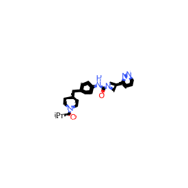 CC(C)C(=O)N1CCC(Cc2ccc(NC(=O)N3CC(c4cccnn4)C3)cc2)CC1